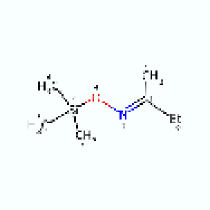 CCC(C)=NO[Si](C)(C)C